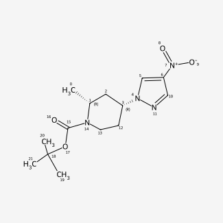 C[C@@H]1C[C@H](n2cc([N+](=O)[O-])cn2)CCN1C(=O)OC(C)(C)C